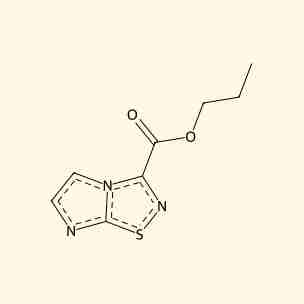 CCCOC(=O)c1nsc2nccn12